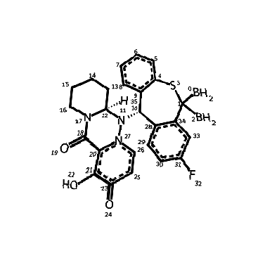 BC1(B)Sc2ccccc2[C@@H](N2[C@@H]3CCCCN3C(=O)c3c(O)c(=O)ccn32)c2ccc(F)cc21